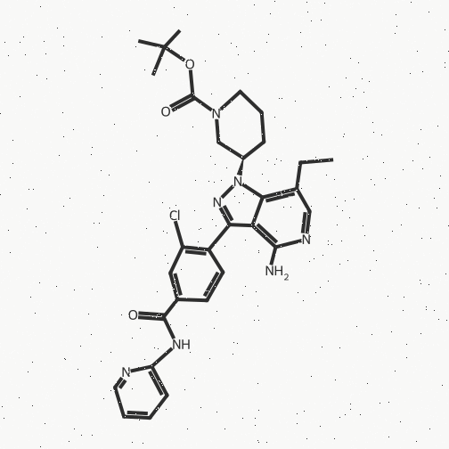 CCc1cnc(N)c2c(-c3ccc(C(=O)Nc4ccccn4)cc3Cl)nn([C@@H]3CCCN(C(=O)OC(C)(C)C)C3)c12